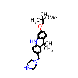 COC(C)(C)COc1ccc2c(c1)Nc1ccc(CN3CCNCC3)cc1C2(C)C